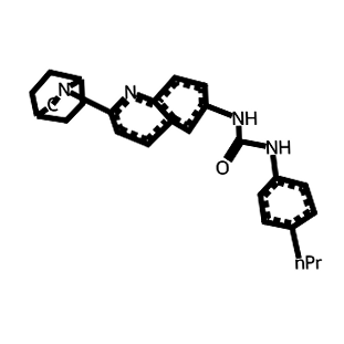 CCCc1ccc(NC(=O)Nc2ccc3nc(N4CC5CCC4CC5)ccc3c2)cc1